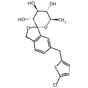 C[C@H]1O[C@]2(OCc3ccc(Cc4ccc(Cl)s4)cc32)[C@H](O)[C@@H](O)[C@@H]1O